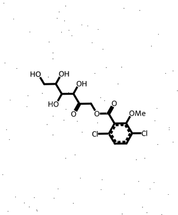 COc1c(Cl)ccc(Cl)c1C(=O)OCC(=O)C(O)C(O)C(O)CO